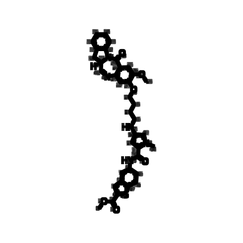 COC(=O)c1cc2cc(NC(=O)c3cc(NCCCCOc4cc5c(cc4OC)C(=O)N4c6ccccc6C[C@H]4C=N5)cn3C)ccc2s1